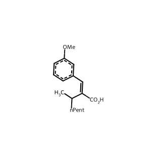 CCCCCC(C)C(=Cc1cccc(OC)c1)C(=O)O